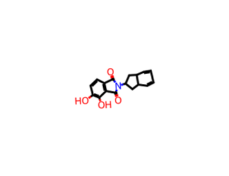 O=C1c2ccc(O)c(O)c2C(=O)N1C1CC2C=CC=CC2C1